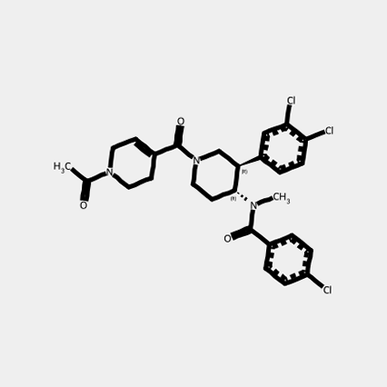 CC(=O)N1CC=C(C(=O)N2CC[C@@H](N(C)C(=O)c3ccc(Cl)cc3)[C@H](c3ccc(Cl)c(Cl)c3)C2)CC1